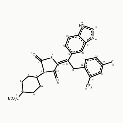 CCOC(=O)C1CCC(N2C(=O)S/C(=C(/Cc3ccc(Cl)cc3C(F)(F)F)c3ccc4[nH]nnc4c3)C2=O)CC1